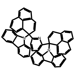 C1=CC(c2cccc(C3(n4c5ccccc5c5ccccc54)C=Cc4cccc5cccc3c45)n2)(n2c3ccccc3c3ccccc32)c2cccc3cccc1c23